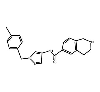 Cc1ccc(Cn2cc(NC(=O)c3ccc4c(c3)CCNC4)cn2)cc1